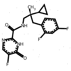 C[C@](CNC(=O)c1ncc(F)c(=O)[nH]1)(Cc1ccc(F)cc1F)C1CC1